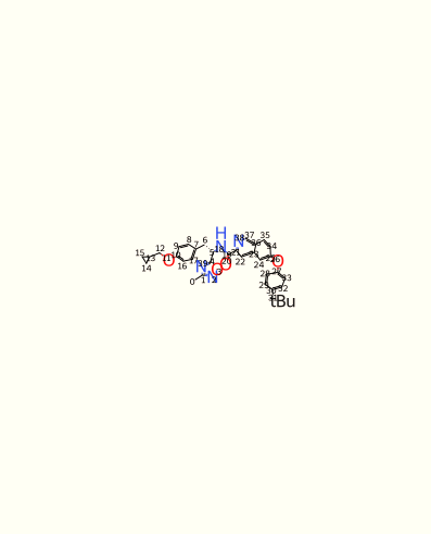 Cc1noc([C@H](Cc2ccc(OCC3CC3)cc2)NC(=O)c2cc3cc(Oc4ccc(C(C)(C)C)cc4)ccc3cn2)n1